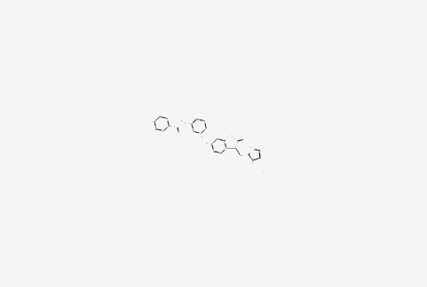 Cc1[nH]c(C=C2C(=O)Nc3cc(Oc4cccc(N(C)C(=O)c5cccc(C(F)(F)F)c5)c4)ccc32)c(C)c1C(=O)O